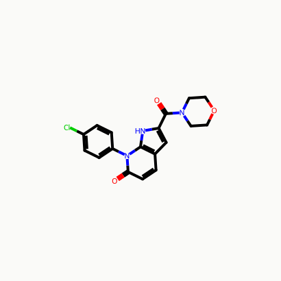 O=C(c1cc2ccc(=O)n(-c3ccc(Cl)cc3)c2[nH]1)N1CCOCC1